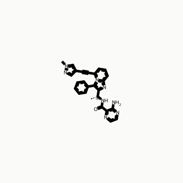 C[C@@H](NC(=O)c1nccnc1N)c1nc2cccc(C#Cc3cnn(C)c3)n2c1-c1ccccc1